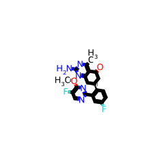 COc1nc(-c2cc(F)ccc2[C@@H]2CC(=O)c3c(C)nc(N)nc3C2)ncc1F